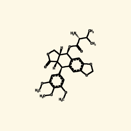 COc1cc([C@@H]2c3cc4c(cc3[C@H](OC(=O)[C@H](N)C(C)C)[C@H]3COC(=O)[C@@H]23)OCO4)cc(OC)c1OC